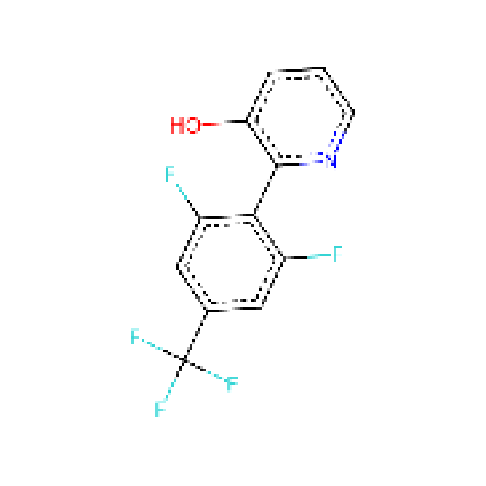 Oc1cccnc1-c1c(F)cc(C(F)(F)F)cc1F